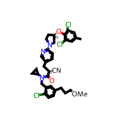 COCCCc1ccc(Cl)c(CN(C(=O)[C@@H](C#N)Cc2ccc(N3CC[C@@H](Oc4c(Cl)cc(C)cc4Cl)C3)nc2)C2CC2)c1